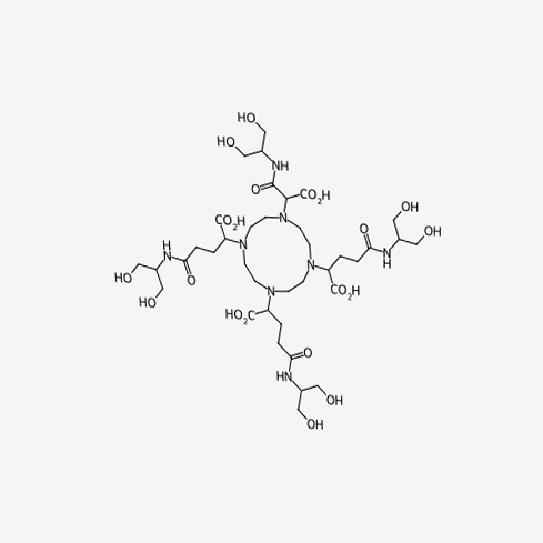 O=C(CCC(C(=O)O)N1CCN(C(CCC(=O)NC(CO)CO)C(=O)O)CCN(C(C(=O)O)C(=O)NC(CO)CO)CCN(C(CCC(=O)NC(CO)CO)C(=O)O)CC1)NC(CO)CO